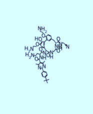 Cc1nc(-c2ccc(C(C)(C)C)cc2)nc(C)c1C(=O)NC(CCN)C(=O)N(C)[C@@H]1C(=O)N[C@@H](C)C(=O)N[C@H](C(=O)NCC#N)Cc2ccc(OCCN)c(c2)-c2cc1cc(OCCN)c2O